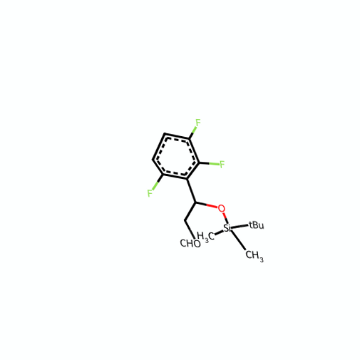 CC(C)(C)[Si](C)(C)OC(CC=O)c1c(F)ccc(F)c1F